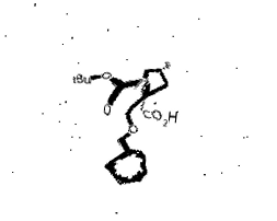 CC(C)(C)OC(=O)N1C[C@H](F)C[C@]1(COCc1ccccc1)C(=O)O